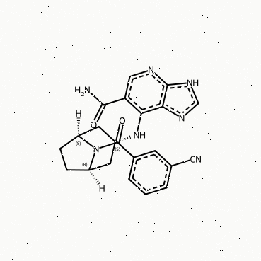 N#Cc1cccc(C(=O)N2[C@@H]3CC[C@H]2C[C@H](Nc2c(C(N)=O)cnc4[nH]cnc24)C3)c1